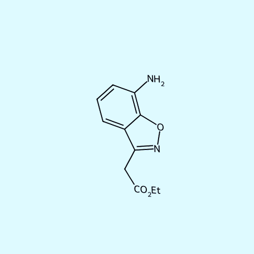 CCOC(=O)Cc1noc2c(N)cccc12